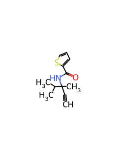 C#CC(C)(NC(=O)c1cccs1)C(C)C